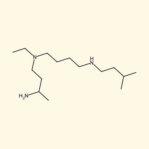 CCN(CCCCNCCC(C)C)CCC(C)N